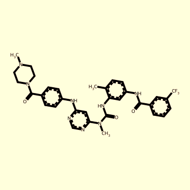 Cc1ccc(NC(=O)c2cccc(C(F)(F)F)c2)cc1NC(=O)N(C)c1cc(Nc2ccc(C(=O)N3CCN(C)CC3)cc2)ncn1